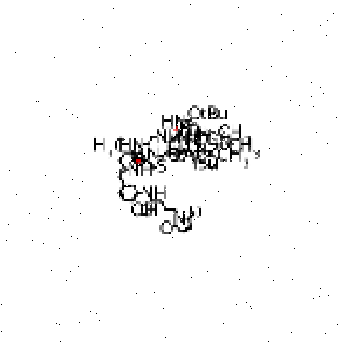 CC[C@H](C)[C@H](NC(=O)C(C)(C)N(C)C)C(=O)N(C)[C@H](C[C@@H](OC(C)=O)c1nc(C(=O)N[C@@H](Cc2ccc(O)c(NC(=O)CCCN3C(=O)C=CC3=O)c2)CC(C)C(=O)NCCNCCNC(=O)OC(C)(C)C)cs1)C(C)C